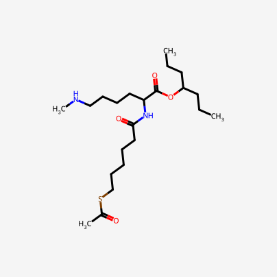 CCCC(CCC)OC(=O)C(CCCCNC)NC(=O)CCCCCSC(C)=O